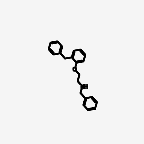 c1ccc(CNCCOc2ccccc2Cc2ccccc2)cc1